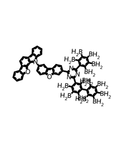 Bc1c(B)c(B)c(-c2nc(-c3ccc4c(c3)oc3ccc(-n5c6ccccc6c6ccc7c8ccccc8oc7c65)cc34)nc(-c3c(B)c(B)c(B)c(-c4c(B)c(B)c(B)c(B)c4B)c3B)n2)c(B)c1B